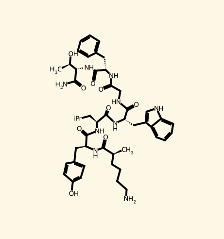 CC(C)C[C@H](NC(=O)[C@H](Cc1ccc(O)cc1)NC(=O)[C@@H](C)CCCCN)C(=O)N[C@@H](Cc1c[nH]c2ccccc12)C(=O)NCC(=O)N[C@@H](Cc1ccccc1)C(=O)N[C@H](C(N)=O)[C@@H](C)O